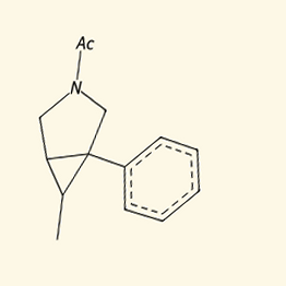 CC(=O)N1CC2C(C)C2(c2ccccc2)C1